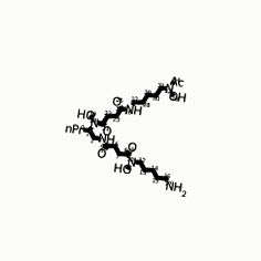 CCCC(CNC(=O)CCC(=O)N(O)CCCCCN)N(O)C(=O)CCC(=O)NCCCCCN(O)C(C)=O